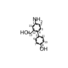 Nc1ccc(-c2ccc(O)cc2)c(CO)c1